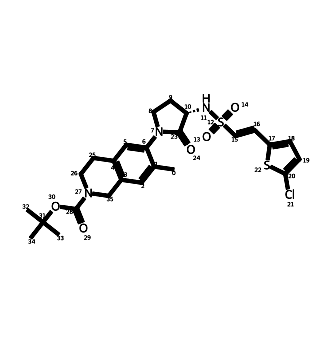 Cc1cc2c(cc1N1CC[C@H](NS(=O)(=O)/C=C/c3ccc(Cl)s3)C1=O)CCN(C(=O)OC(C)(C)C)C2